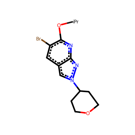 CC(C)Oc1nc2nn(C3CCOCC3)cc2cc1Br